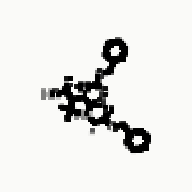 C[C@H](NC(=O)[C@@H](NC(=O)OCc1ccccc1)C(C(=O)O)C(C)(C)C)C(=O)OCc1ccccc1